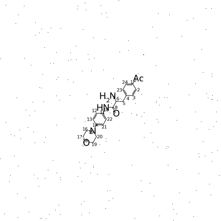 CC(=O)c1ccc(CC(N)C(=O)Nc2ccc(N3CCOCC3)cc2)cc1